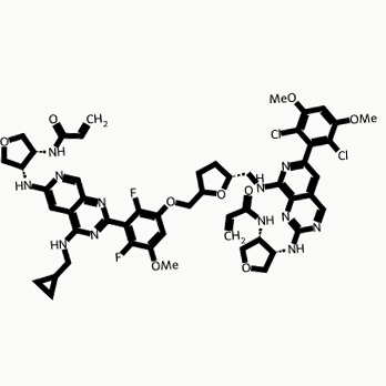 C=CC(=O)N[C@H]1COC[C@H]1Nc1cc2c(NCC3CC3)nc(-c3c(F)c(OC)cc(OCC4CC[C@H](CNc5nc(-c6c(Cl)c(OC)cc(OC)c6Cl)cc6cnc(N[C@@H]7COC[C@@H]7NC(=O)C=C)nc56)O4)c3F)nc2cn1